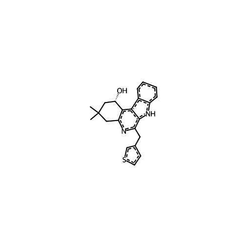 CC1(C)Cc2nc(Cc3ccsc3)c3[nH]c4ccccc4c3c2[C@@H](O)C1